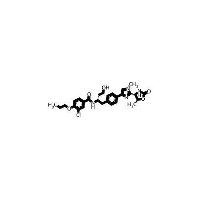 CCCOc1ccc(C(=O)N[C@H](CCO)Cc2ccc(-c3cn(C)c([C@H]4NC(=O)O[C@H]4C)n3)cc2)cc1Cl